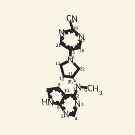 CN(c1ncnc2[nH]ccc12)[C@@H]1CCN(c2cnc(C#N)nc2)C1